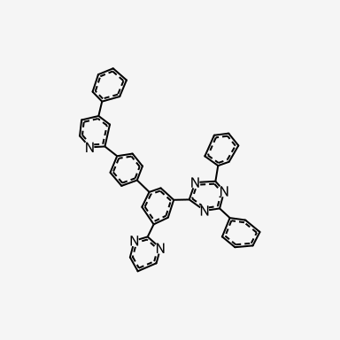 c1ccc(-c2ccnc(-c3ccc(-c4cc(-c5ncccn5)cc(-c5nc(-c6ccccc6)nc(-c6ccccc6)n5)c4)cc3)c2)cc1